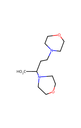 O=C(O)C(CCN1CCOCC1)N1CCOCC1